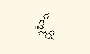 COO/C=N\C(C(=O)N1CCC[C@H]1c1nc2cc(-c3ccc(C)cc3)ccc2[nH]1)c1ccccc1